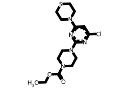 CCOC(=O)N1CCN(c2nc(Cl)cc(N3CCSCC3)n2)CC1